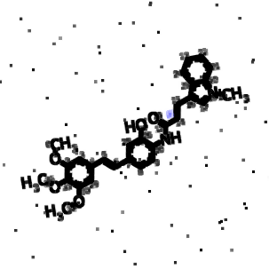 COc1cc(C=Cc2ccc(NC(=O)/C=C/c3cn(C)c4ccccc34)c(O)c2)cc(OC)c1OC